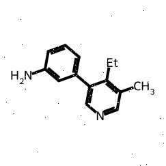 CCc1c(C)cncc1-c1cccc(N)c1